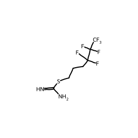 N=C(N)SCCCC(F)(F)C(F)(F)C(F)(F)F